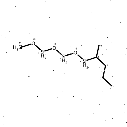 [CH2]CCC(C)[SiH2]O[SiH2]O[SiH2]O[SiH3]